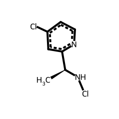 C[C@H](NCl)c1cc(Cl)ccn1